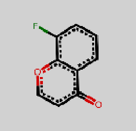 O=c1ccoc2c(F)cccc12